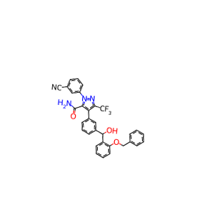 N#Cc1cccc(-n2nc(C(F)(F)F)c(-c3cccc(C(O)c4ccccc4OCc4ccccc4)c3)c2C(N)=O)c1